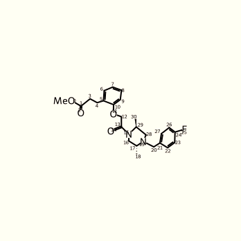 COC(=O)CCc1ccccc1OCC(=O)N1C[C@@H](C)N(Cc2ccc(F)cc2)C[C@@H]1C